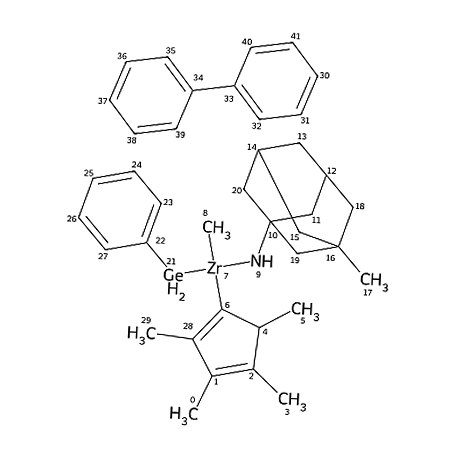 CC1=C(C)C(C)[C]([Zr]([CH3])([NH]C23CC4CC(CC(C)(C4)C2)C3)[GeH2][c]2ccccc2)=C1C.c1ccc(-c2ccccc2)cc1